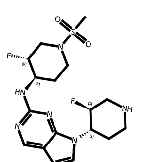 CS(=O)(=O)N1CC[C@@H](Nc2ncc3ccn([C@H]4CCNC[C@@H]4F)c3n2)[C@H](F)C1